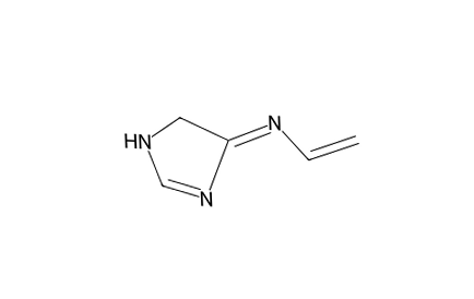 C=CN=C1CNC=N1